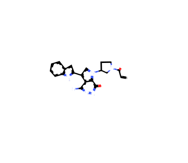 C=CC(=O)N1CCC(n2cc(-c3cc4ccccc4n3C)c3c(N)n[nH]c(=O)c32)C1